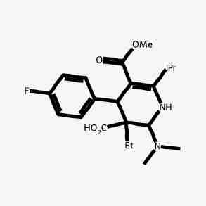 CCC1(C(=O)O)C(c2ccc(F)cc2)C(C(=O)OC)=C(C(C)C)NC1N(C)C